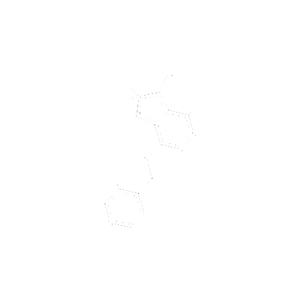 Cc1nnc(NCc2ccncc2)c2cn(C)c(C)c12